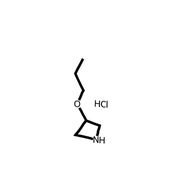 CCCOC1CNC1.Cl